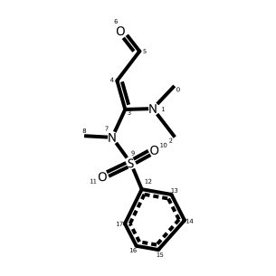 CN(C)C(=CC=O)N(C)S(=O)(=O)c1ccccc1